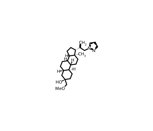 C=C(Cn1cccn1)[C@H]1CC[C@H]2[C@@H]3CC[C@H]4C[C@@](O)(COC)CC[C@@H]4[C@H]3CC[C@]12C